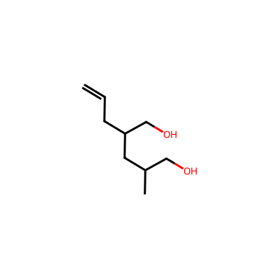 C=CCC(CO)CC(C)CO